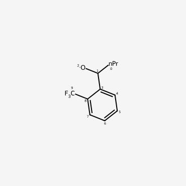 CCCC([O])c1ccccc1C(F)(F)F